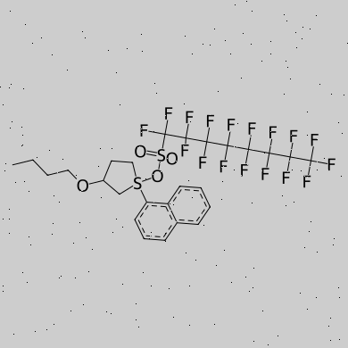 CCCCOC1CCS(OS(=O)(=O)C(F)(F)C(F)(F)C(F)(F)C(F)(F)C(F)(F)C(F)(F)C(F)(F)C(F)(F)F)(c2cccc3ccccc23)C1